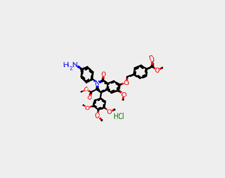 COC(=O)c1ccc(COc2cc3c(=O)n(-c4ccc(N)cc4)c(C(=O)OC)c(-c4cc(OC)c(OC)c(OC)c4)c3cc2OC)cc1.Cl